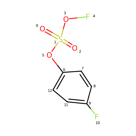 O=S(=O)(OF)Oc1ccc(F)cc1